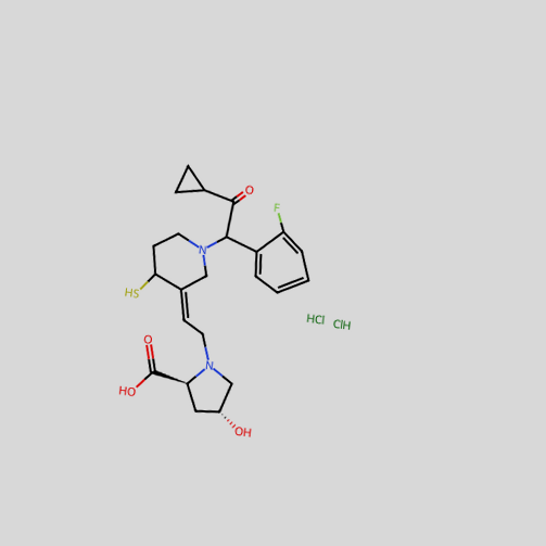 Cl.Cl.O=C(C1CC1)C(c1ccccc1F)N1CCC(S)/C(=C/CN2C[C@H](O)C[C@H]2C(=O)O)C1